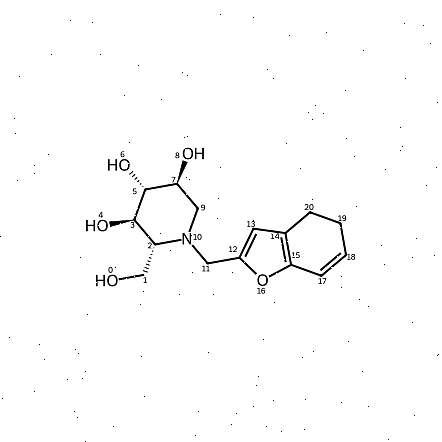 OC[C@@H]1[C@@H](O)[C@H](O)[C@@H](O)CN1Cc1cc2c(o1)C=CCC2